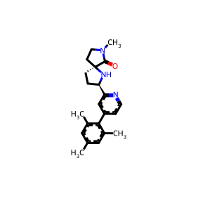 Cc1cc(C)c(-c2ccnc([C@H]3CC[C@@]4(CCN(C)C4=O)N3)c2)c(C)c1